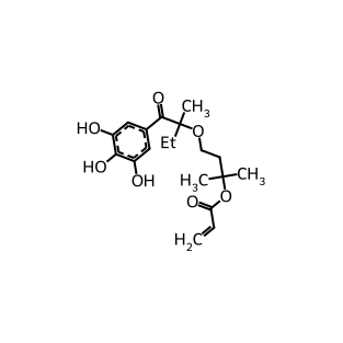 C=CC(=O)OC(C)(C)CCOC(C)(CC)C(=O)c1cc(O)c(O)c(O)c1